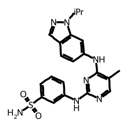 Cc1cnc(Nc2cccc(S(N)(=O)=O)c2)nc1Nc1ccc2cnn(C(C)C)c2c1